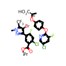 CC(C)OC(=O)c1cc(-c2nn(C)c(C(F)(F)F)c2Br)c(F)cc1Cl.C[C@@H](Oc1ccc(Oc2ncc(Cl)cc2F)cc1)C(=O)O